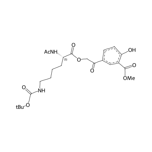 COC(=O)c1cc(C(=O)COC(=O)[C@H](CCCCNC(=O)OC(C)(C)C)NC(C)=O)ccc1O